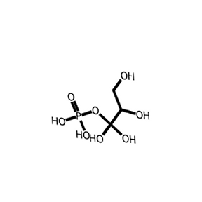 O=P(O)(O)OC(O)(O)C(O)CO